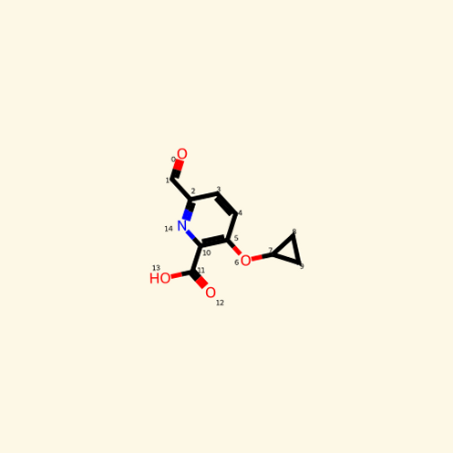 O=Cc1ccc(OC2CC2)c(C(=O)O)n1